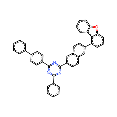 c1ccc(-c2ccc(-c3nc(-c4ccccc4)nc(-c4ccc5cc(-c6cccc7oc8ccccc8c67)ccc5c4)n3)cc2)cc1